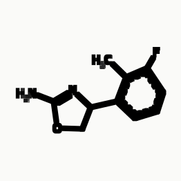 Cc1c(F)cccc1C1COC(N)=N1